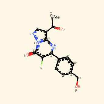 COC(=O)c1cnn2c(=O)c(F)c(-c3ccc(CO)cc3)[nH]c12